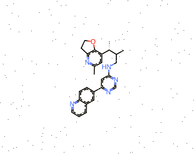 Cc1cc([C@H](C)C(C)CNc2cc(-c3ccc4ncccc4c3)ncn2)c2c(n1)CCO2